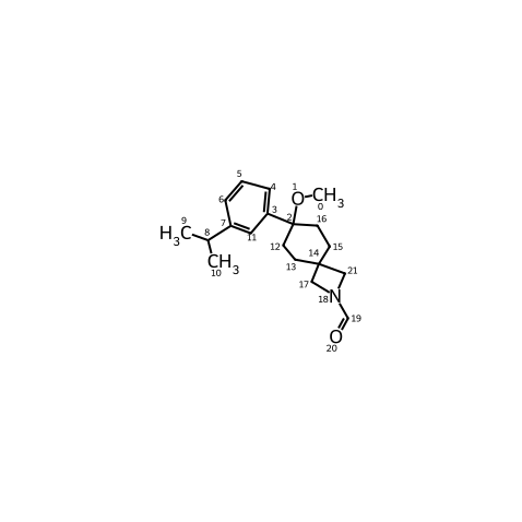 COC1(c2cccc(C(C)C)c2)CCC2(CC1)CN(C=O)C2